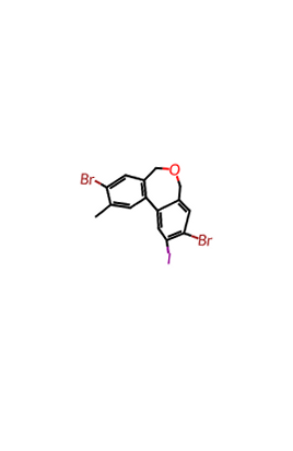 Cc1cc2c(cc1Br)COCc1cc(Br)c(I)cc1-2